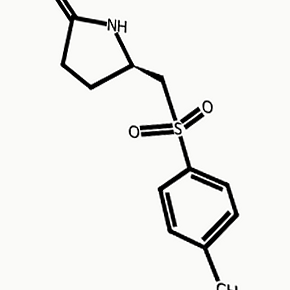 Cc1ccc(S(=O)(=O)C[C@H]2CCC(=O)N2)cc1